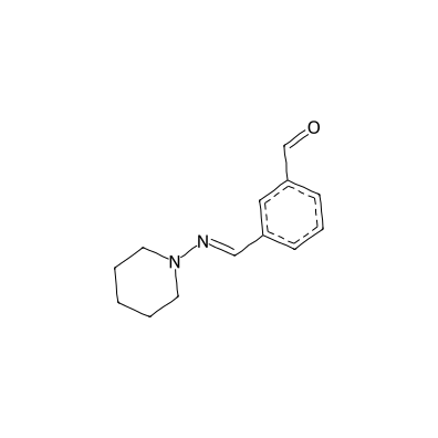 O=Cc1cccc(C=NN2CCCCC2)c1